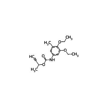 C#CC(C)OC(=O)Nc1cc(C)c(OCC)c(OCC)c1